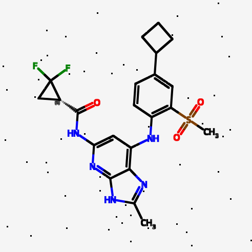 Cc1nc2c(Nc3ccc(C4CCC4)cc3S(C)(=O)=O)cc(NC(=O)[C@@H]3CC3(F)F)nc2[nH]1